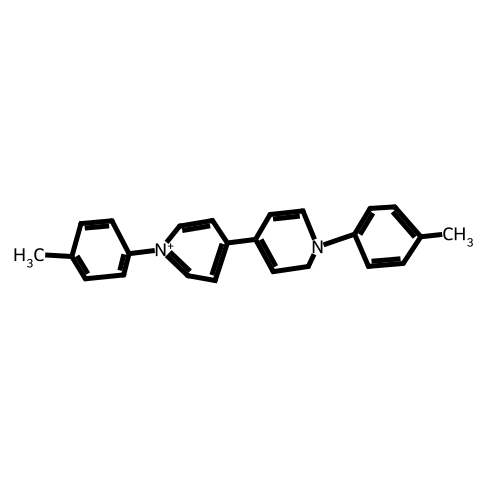 Cc1ccc(N2C=CC(c3cc[n+](-c4ccc(C)cc4)cc3)=CC2)cc1